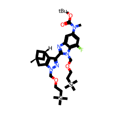 CN(C(=O)OC(C)(C)C)c1cc(F)c2c(c1)nc(-c1nn(COCC[Si](C)(C)C)c3c1[C@H]1C[C@@](C)(C3)C1)n2COCC[Si](C)(C)C